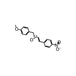 COc1ccc(C[S+]([O-])C=Cc2ccc([N+](=O)[O-])cc2)cc1